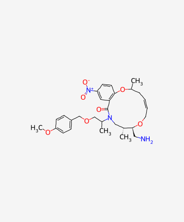 COc1ccc(COCC(C)N2C[C@@H](C)[C@H](CN)OCC=CCC(C)Oc3ccc([N+](=O)[O-])cc3C2=O)cc1